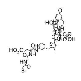 Cc1cc([C@@H]2O[C@@H]3C[C@H]4[C@@H]5CCC6=CC(=O)C=C[C@]6(C)[C@H]5[C@@H](O)C[C@]4(C)[C@]3(C(=O)COP(=O)(O)O)O2)sc1Cc1cccc(NC(=O)[C@H](CCC(=O)O)NC(=O)CNC(=O)CBr)c1